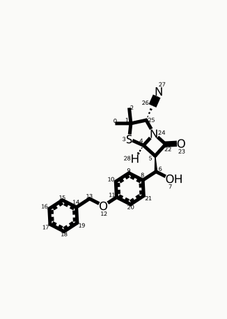 CC1(C)S[C@@H]2[C@H](C(O)c3ccc(OCc4ccccc4)cc3)C(=O)N2[C@H]1C#N